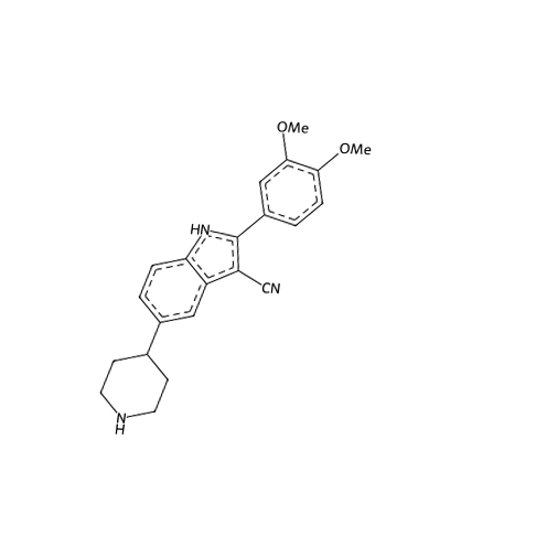 COc1ccc(-c2[nH]c3ccc(C4CCNCC4)cc3c2C#N)cc1OC